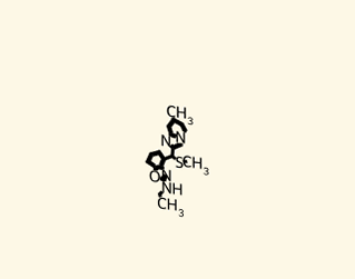 CCNc1nc2c(C(SC)c3cn4ccc(C)cc4n3)cccc2o1